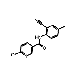 Cc1ccc(NC(=O)c2ccc(Cl)nc2)c(C#N)c1